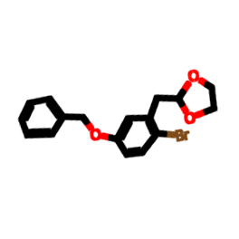 Brc1ccc(OCc2ccccc2)cc1CC1OCCO1